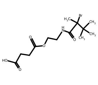 CC(C)(C)C(C)(Br)C(=O)NCCOC(=O)CCC(=O)O